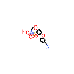 N#Cc1cccc(Oc2ccc3c(c2)S(=O)(=O)N(C(=O)O)CCO3)c1